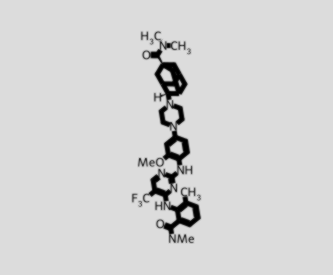 CNC(=O)c1cccc(C)c1Nc1nc(Nc2ccc(N3CCN([C@H]4C5CC6CC4C[C@@](C(=O)N(C)C)(C6)C5)CC3)cc2OC)ncc1C(F)(F)F